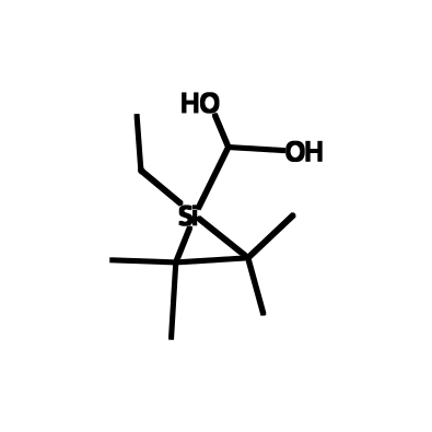 CC[Si]1(C(O)O)C(C)(C)C1(C)C